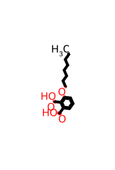 CCCCCCCCOc1cccc(C(=O)O)c1C(=O)O